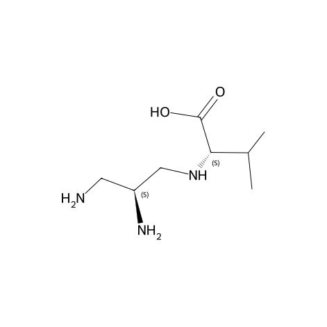 CC(C)[C@H](NC[C@@H](N)CN)C(=O)O